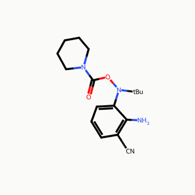 CC(C)(C)N(OC(=O)N1CCCCC1)c1cccc(C#N)c1N